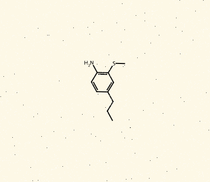 CCCc1ccc(N)c(SC)c1